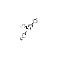 Cc1ccc(CCNCC(NCCc2ccc(F)cc2)c2ccccc2)cc1